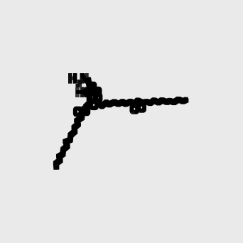 CCCCCCCCCCCCCCCC(=O)OCC(COP(=O)(O)OCCN)OC(=O)CCCCCCCCC(=O)CC(=O)CCCCCCCCCCC